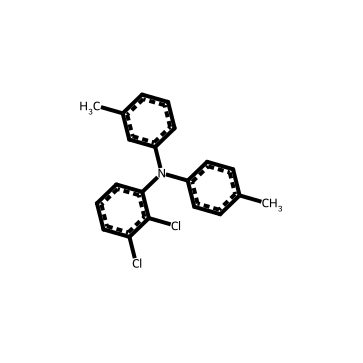 Cc1ccc(N(c2cccc(C)c2)c2cccc(Cl)c2Cl)cc1